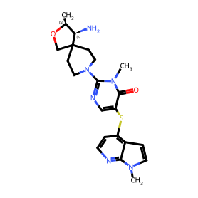 C[C@@H]1OCC2(CCN(c3ncc(Sc4ccnc5c4ccn5C)c(=O)n3C)CC2)[C@@H]1N